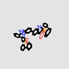 O=P1(c2cnc3cc(-c4ccc5nc6c7ccccc7c7ccc(P8(=O)c9ccccc9-c9ccccc98)cc7n6c5c4)ccc3c2)c2ccccc2-c2ccccc21